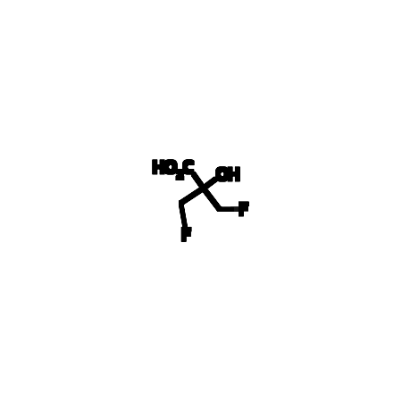 O=C(O)C(O)(CF)CF